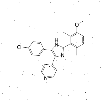 COc1ccc(C)c(-c2nc(-c3ccncc3)c(-c3ccc(Cl)cc3)[nH]2)c1C